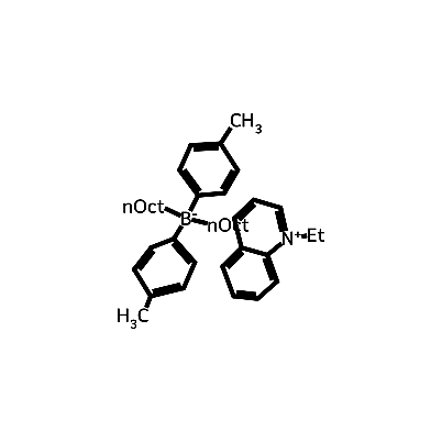 CCCCCCCC[B-](CCCCCCCC)(c1ccc(C)cc1)c1ccc(C)cc1.CC[n+]1cccc2ccccc21